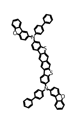 c1ccc(-c2ccc(N(c3ccc4c(c3)sc3cc5cc6sc7cc(N(c8ccc(-c9ccccc9)cc8)c8ccc9oc%10ccccc%10c9c8)ccc7c6cc5cc34)c3ccc4oc5ccccc5c4c3)cc2)cc1